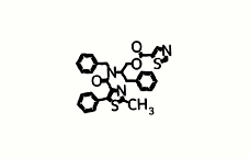 Cc1nc(C(=O)N(Cc2ccccc2)C(COC(=O)c2cncs2)Cc2ccccc2)c(-c2ccccc2)s1